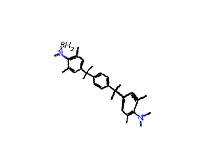 BN(C)c1c(C)cc(C(C)(C)c2ccc(C(C)(C)c3cc(C)c(N(C)C)c(C)c3)cc2)cc1C